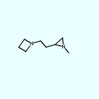 CN1CC1CCN1CCC1